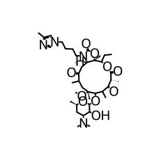 CCC1OC(=O)[C@H](C)C(=O)C(C)C(OC2O[C@H](C)C[C@H](N(C)C)C2O)[C@](C)(OC)CC(C)C(=O)[C@H](C)[C@@H]2N(CCCCn3cnc(C)c3)C(=O)O[C@]12C